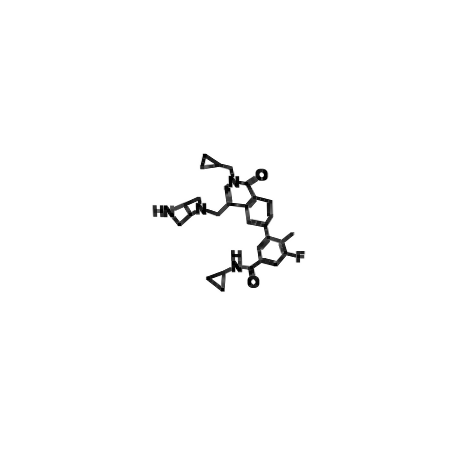 Cc1c(F)cc(C(=O)NC2CC2)cc1-c1ccc2c(=O)n(CC3CC3)cc(CN3CC4NCC43)c2c1